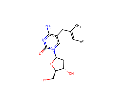 CCCC=C(C)Cc1cn([C@H]2C[C@H](O)[C@@H](CO)O2)c(=O)nc1N